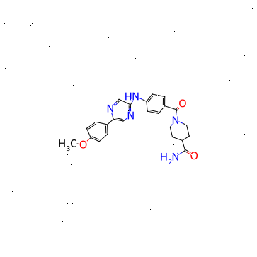 COc1ccc(-c2cnc(Nc3ccc(C(=O)N4CCC(C(N)=O)CC4)cc3)cn2)cc1